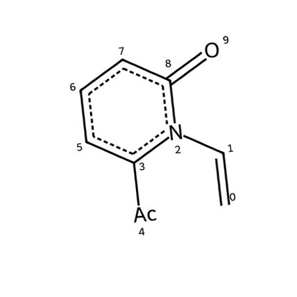 C=Cn1c(C(C)=O)cccc1=O